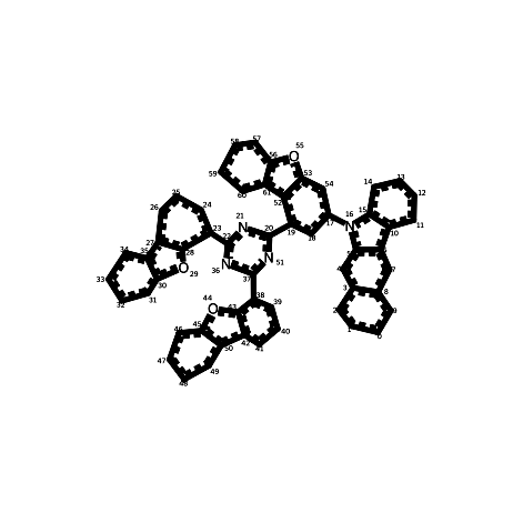 c1ccc2cc3c(cc2c1)c1ccccc1n3-c1cc(-c2nc(-c3cccc4c3oc3ccccc34)nc(-c3cccc4c3oc3ccccc34)n2)c2c(c1)oc1ccccc12